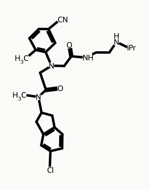 Cc1ccc(C#N)cc1N(CC(=O)NCCNC(C)C)CC(=O)N(C)C1Cc2ccc(Cl)cc2C1